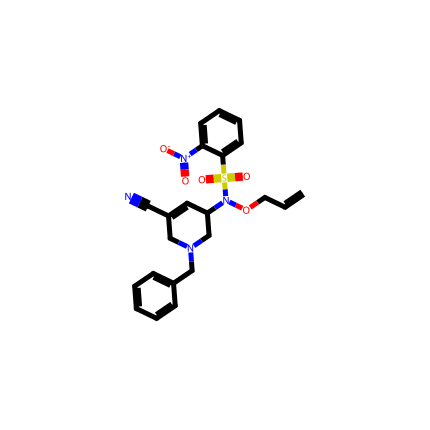 C=CCON(C1C=C(C#N)CN(Cc2ccccc2)C1)S(=O)(=O)c1ccccc1[N+](=O)[O-]